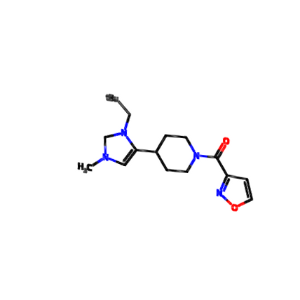 CN1C=C(C2CCN(C(=O)c3ccon3)CC2)N(CC(C)(C)C)C1